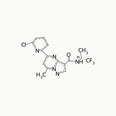 Cc1cc(-c2cccc(Cl)n2)nc2c(C(=O)N[C@H](C)C(F)(F)F)cnn12